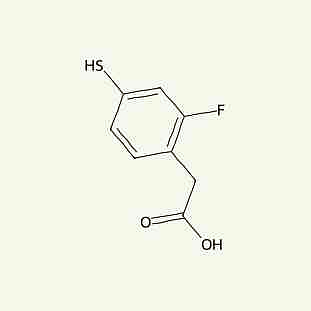 O=C(O)Cc1ccc(S)cc1F